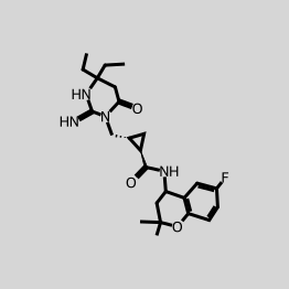 CCC1(CC)CC(=O)N(C[C@@H]2C[C@H]2C(=O)NC2CC(C)(C)Oc3ccc(F)cc32)C(=N)N1